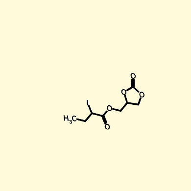 CCC(I)C(=O)OCC1COC(=O)O1